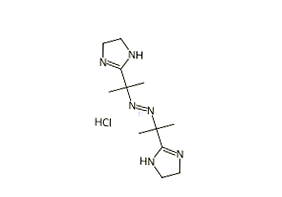 CC(C)(/N=N/C(C)(C)C1=NCCN1)C1=NCCN1.Cl